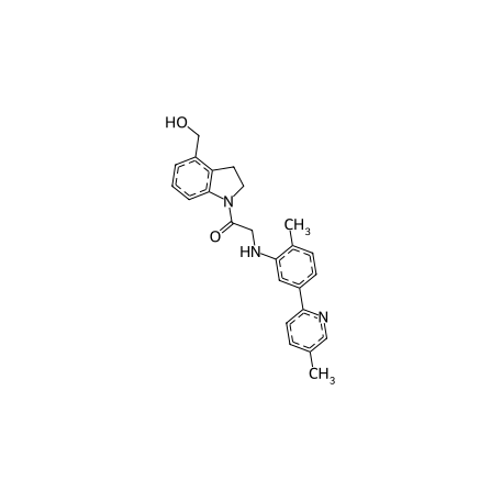 Cc1ccc(-c2ccc(C)c(NCC(=O)N3CCc4c(CO)cccc43)c2)nc1